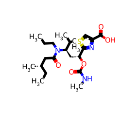 CCCN(C(=O)C[C@@H](C)CC)[C@H](C[C@@H](OC(=O)NC)c1nc(C(=O)O)cs1)C(C)C